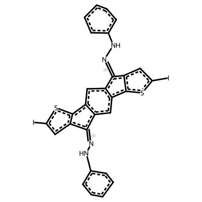 Ic1cc2/c(=N\Nc3ccccc3)c3cc4c(cc3c2s1)/c(=N/Nc1ccccc1)c1cc(I)sc14